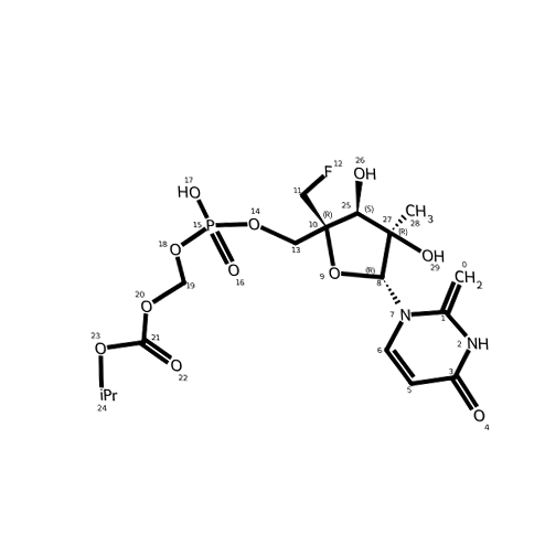 C=C1NC(=O)C=CN1[C@@H]1O[C@](CF)(COP(=O)(O)OCOC(=O)OC(C)C)[C@@H](O)[C@@]1(C)O